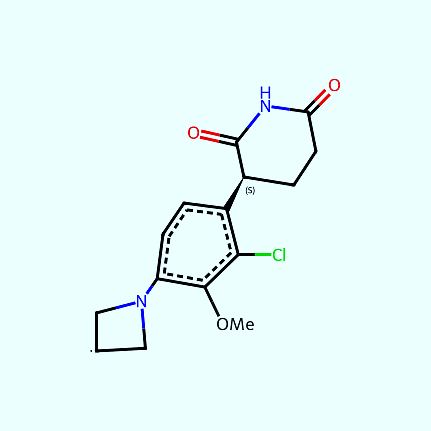 COc1c(N2C[CH]C2)ccc([C@@H]2CCC(=O)NC2=O)c1Cl